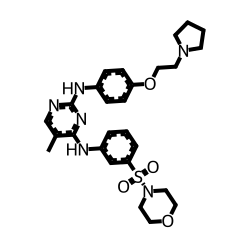 Cc1cnc(Nc2ccc(OCCN3CCCC3)cc2)nc1Nc1cccc(S(=O)(=O)N2CCOCC2)c1